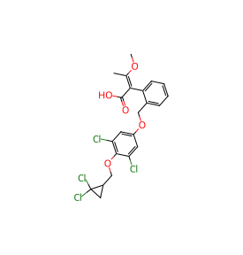 COC(C)=C(C(=O)O)c1ccccc1COc1cc(Cl)c(OCC2CC2(Cl)Cl)c(Cl)c1